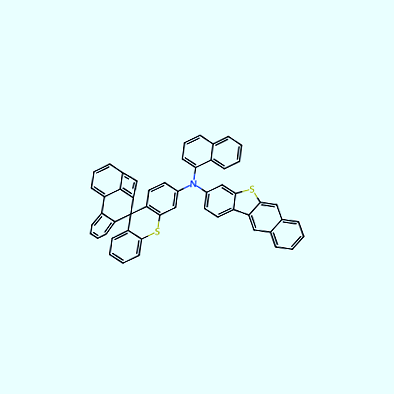 c1ccc2c(c1)Sc1cc(N(c3ccc4c(c3)sc3cc5ccccc5cc34)c3cccc4ccccc34)ccc1C21c2ccccc2-c2cccc3cccc1c23